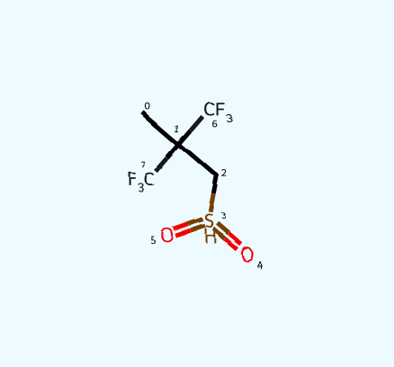 CC(C[SH](=O)=O)(C(F)(F)F)C(F)(F)F